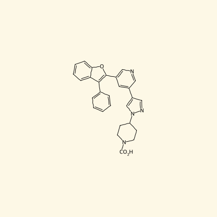 O=C(O)N1CCC(n2cc(-c3cncc(-c4oc5ccccc5c4-c4ccccc4)c3)cn2)CC1